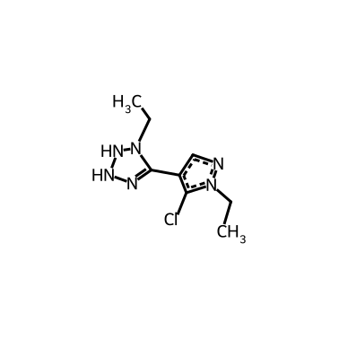 CCN1NNN=C1c1cnn(CC)c1Cl